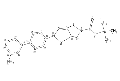 CC(C)(C)OC(=O)N1CC2=CN(c3ccc(-c4cccc(N)c4)nc3)CC2C1